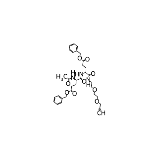 C#CCOCCOCCNC(=O)[C@@H](CCC(=O)OCc1ccccc1)NC(=O)[C@H](CCC(=O)OCc1ccccc1)NC(C)=O